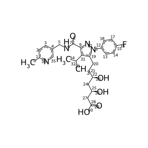 Cc1ccc(CNC(=O)c2nn(-c3ccc(F)cc3)c(CC[C@@H](O)C[C@@H](O)CC(=O)O)c2C(C)C)cn1